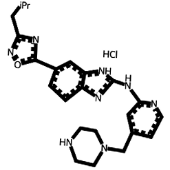 CC(C)Cc1noc(-c2ccc3nc(Nc4cc(CN5CCNCC5)ccn4)[nH]c3c2)n1.Cl